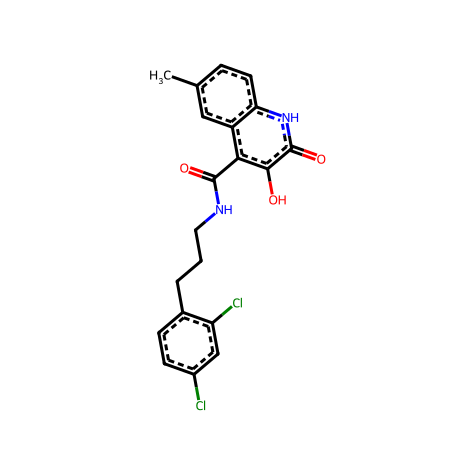 Cc1ccc2[nH]c(=O)c(O)c(C(=O)NCCCc3ccc(Cl)cc3Cl)c2c1